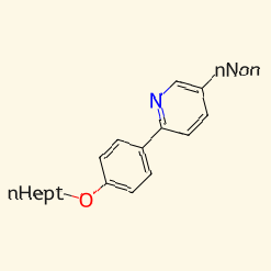 CCCCCCCCCc1ccc(-c2ccc(OCCCCCCC)cc2)nc1